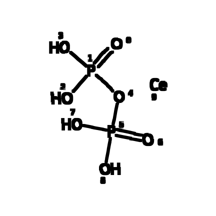 O=P(O)(O)OP(=O)(O)O.[Ce]